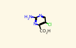 Nc1ncc(Cl)c(C(=O)O)n1